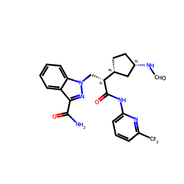 NC(=O)c1nn(C[C@@H](C(=O)Nc2cccc(C(F)(F)F)n2)[C@@H]2CC[C@H](NC=O)C2)c2ccccc12